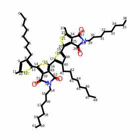 CCCCCCCCc1cc(C)sc1-c1sc(-c2sc(-c3sc(C)c4c3C(=O)N(CCCCCCCC)C4=O)cc2CCCCCCCC)c2c1C(=O)N(CCCCCCCC)C2=O